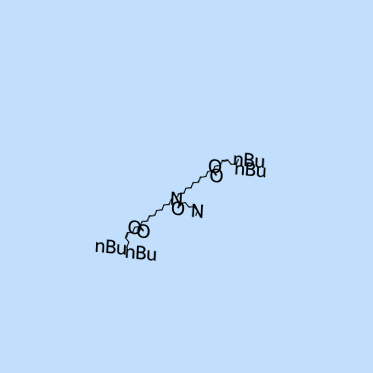 CCCCC(C/C=C\COC(=O)CCCCCCCCCN(CCCCCCCCCC(=O)OC/C=C\CC(CCCC)CCCC)C(=O)CCCN(C)C)CCCC